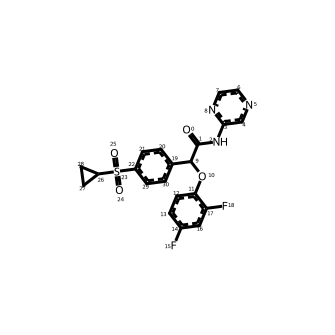 O=C(Nc1cnccn1)C(Oc1ccc(F)cc1F)c1ccc(S(=O)(=O)C2CC2)cc1